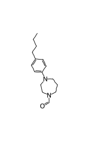 CCCCc1ccc(N2CCCN(C=O)CC2)cc1